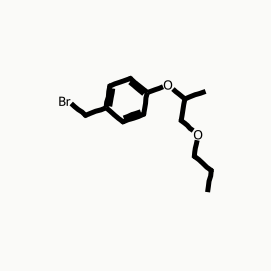 CCCOCC(C)Oc1ccc(CBr)cc1